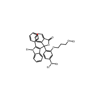 CCOCCCOc1cc(N(CC)CC)ccc1C1(c2c(-c3ccccc3)n(CC)c3ccccc23)OC(=O)c2ccccc21